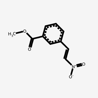 COC(=O)c1cccc(C=C[N+](=O)[O-])c1